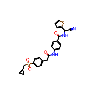 N#CC(NC(=O)c1ccc(NC(=O)Cc2ccc(S(=O)(=O)CC3CC3)cc2)cc1)c1cccs1